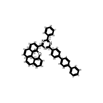 c1ccc(-c2ccc(-c3ccc(-c4nc(-c5ccccc5)nc(-c5ccc6ccc7ccc8cccc9c8c7c6c5O9)n4)cc3)cc2)cc1